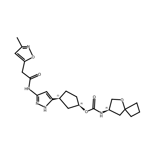 Cc1cc(CC(=O)Nc2cc([C@H]3CC[C@@H](OC(=O)N[C@H]4COC5(CCC5)C4)C3)[nH]n2)on1